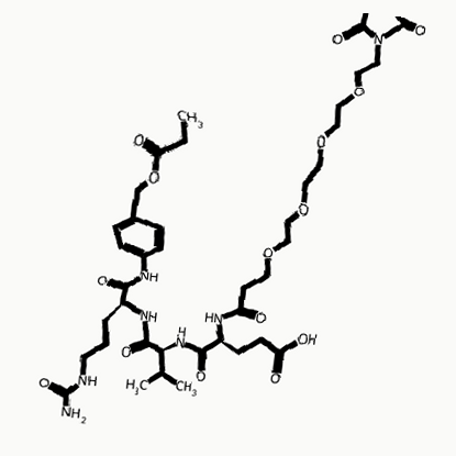 CCC(=O)OCc1ccc(NC(=O)[C@H](CCCNC(N)=O)NC(=O)[C@@H](NC(=O)[C@H](CCC(=O)O)NC(=O)CCOCCOCCOCCOCCN2C(=O)C=CC2=O)C(C)C)cc1